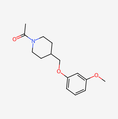 COc1cccc(OCC2CCN(C(C)=O)CC2)c1